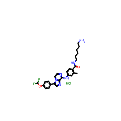 Cc1cc(Nc2nccn3c(-c4ccc(OC(F)F)cc4)cnc23)ccc1C(=O)NCCCCCCN.Cl